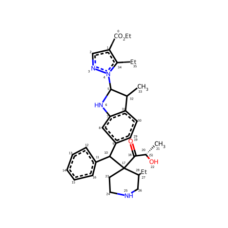 CCOC(=O)c1cnn(C2Nc3cc(C(c4ccccc4)C4(C(=O)[C@H](C)O)CCNCC4CC)ccc3C2C)c1CC